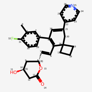 Cc1cc(C2=C(C=C[C@H]3C[C@H](O)CC(=O)O3)C3(CCC3)CC(c3ccncc3)=C2)ccc1F